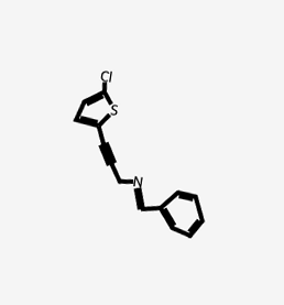 Clc1ccc(C#CC/N=C/c2ccccc2)s1